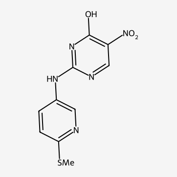 CSc1ccc(Nc2ncc([N+](=O)[O-])c(O)n2)cn1